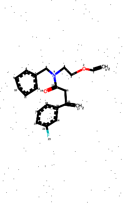 C=COCCN(Cc1ccccc1)C(=O)CC(=C)c1cccc(F)c1